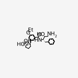 CCOc1cc(C(=O)N[C@@H](Cc2ccccc2)[C@H](O)CN)cc(N2CCCS2(O)O)c1